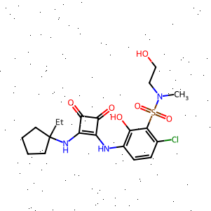 CCC1(Nc2c(Nc3ccc(Cl)c(S(=O)(=O)N(C)CCO)c3O)c(=O)c2=O)CCCC1